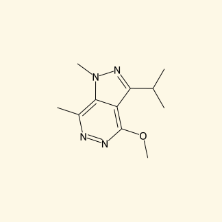 COc1nnc(C)c2c1c(C(C)C)nn2C